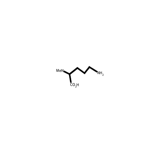 CNC(CCCN)C(=O)O